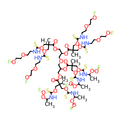 CC(NC(=S)OCC(C)(COC(=S)NC(C)OOF)C(=O)OCC(COCC(COC(=O)C(C)(COC(=S)NCCOCCOF)COC(=S)NCCOCCOF)OC(=O)C(C)(COC(=S)NCCOCCOF)COC(=S)NCCOCCOF)OC(=O)C(C)(COC(=S)NC(C)OOF)COC(=S)NC(C)OOF)OOF